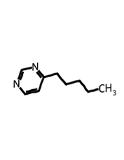 CCCCCc1ccncn1